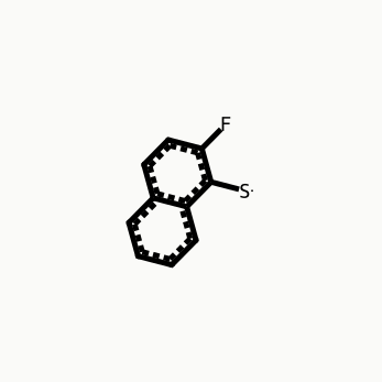 Fc1ccc2ccccc2c1[S]